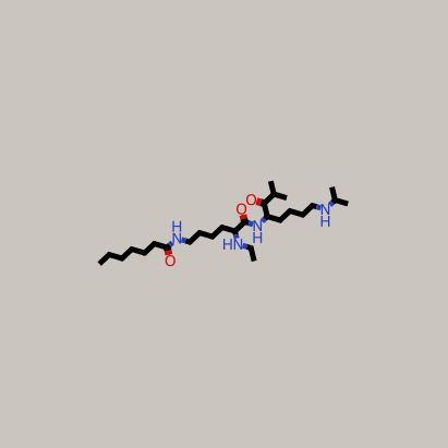 CCCCCCC(=O)NCCCCC(NCC)C(=O)NC(CCCCNC(C)C)C(=O)C(C)C